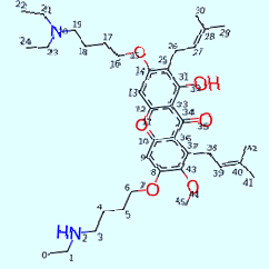 CCNCCCCOc1cc2oc3cc(OCCCCN(CC)CC)c(CC=C(C)C)c(O)c3c(=O)c2c(CC=C(C)C)c1OC